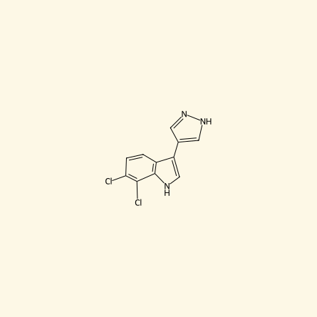 Clc1ccc2c(-c3cn[nH]c3)c[nH]c2c1Cl